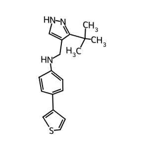 CC(C)(C)c1n[nH]cc1CNc1ccc(-c2ccsc2)cc1